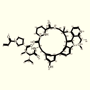 C=CC(=O)N1CC[C@H](C(=O)N(C)[C@H](C(=O)N[C@H]2Cc3cc(O)cc(c3)-c3ccc4sc(-c5cccnc5[C@H](C)OC)c(c4c3)CC(C)(C)COC(=O)[C@@H]3CCCN(N3)C2=O)C(C)C)C1